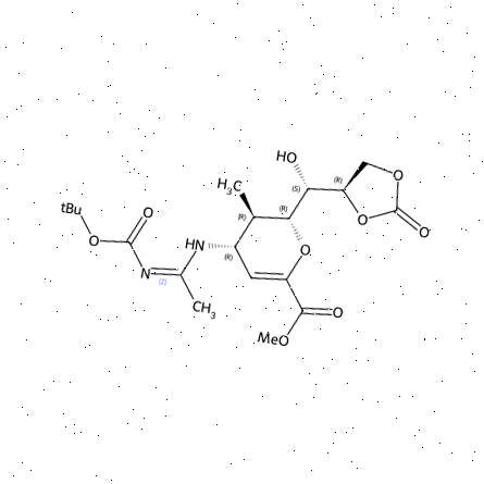 COC(=O)C1=C[C@H](N/C(C)=N\C(=O)OC(C)(C)C)[C@@H](C)[C@H]([C@H](O)[C@H]2COC(=O)O2)O1